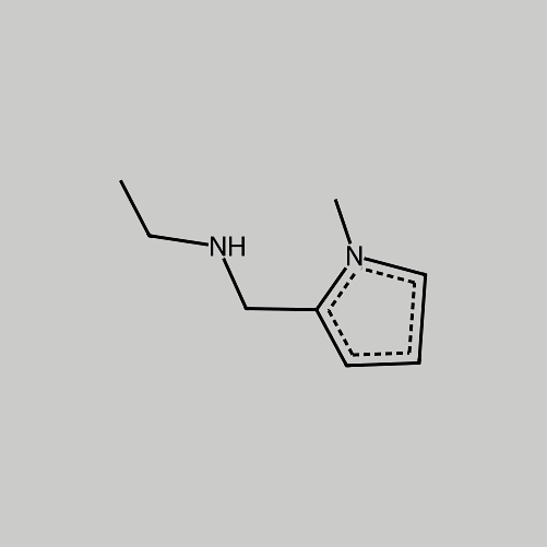 CCNCc1cccn1C